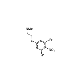 CNCCOc1cc(C(C)C)c([N+](=O)[O-])c(C(C)C)n1